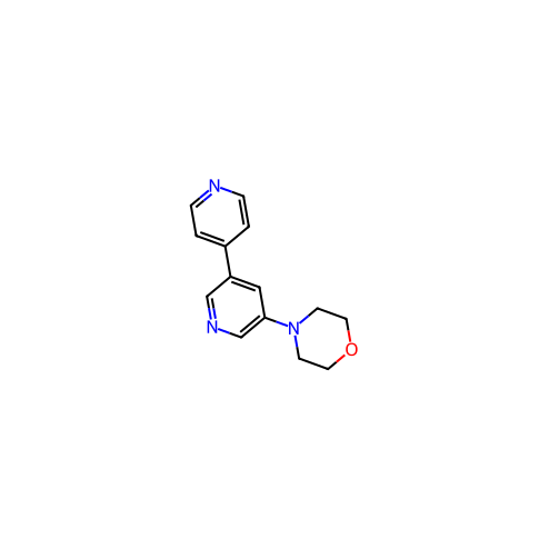 c1cc(-c2cncc(N3CCOCC3)c2)ccn1